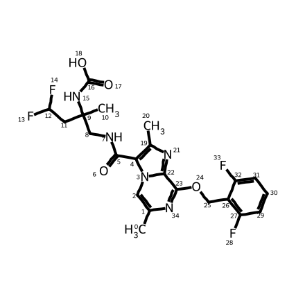 Cc1cn2c(C(=O)NCC(C)(CC(F)F)NC(=O)O)c(C)nc2c(OCc2c(F)cccc2F)n1